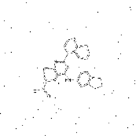 O=[N+]([O-])c1ccc2nc(-c3cccc4ccccc34)nc(Nc3ccc4c(c3)CCC4)c2c1